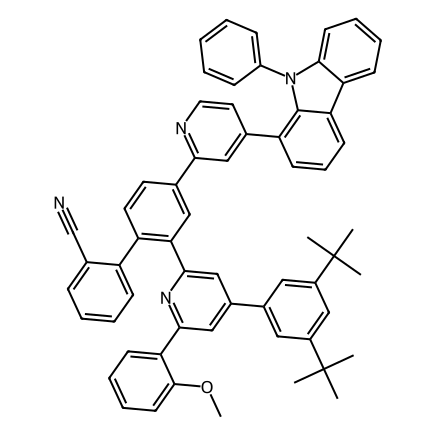 COc1ccccc1-c1cc(-c2cc(C(C)(C)C)cc(C(C)(C)C)c2)cc(-c2cc(-c3cc(-c4cccc5c6ccccc6n(-c6ccccc6)c45)ccn3)ccc2-c2ccccc2C#N)n1